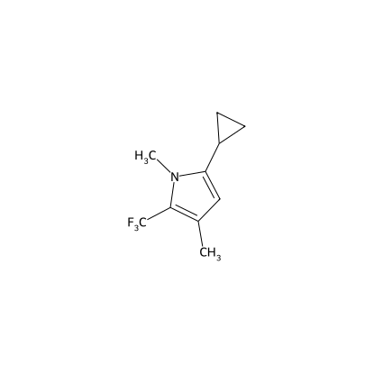 Cc1cc(C2CC2)n(C)c1C(F)(F)F